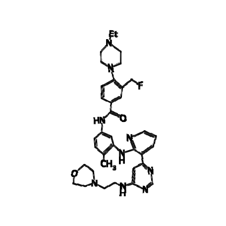 CCN1CCN(c2ccc(C(=O)Nc3ccc(C)c(Nc4ncccc4-c4cc(NCCN5CCOCC5)ncn4)c3)cc2CF)CC1